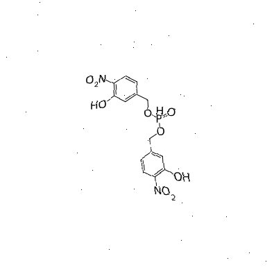 O=[N+]([O-])c1ccc(CO[PH](=O)OCc2ccc([N+](=O)[O-])c(O)c2)cc1O